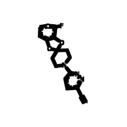 [C]#Cc1ccc(N2CCC3(CC2)Oc2cccc(F)c2O3)nn1